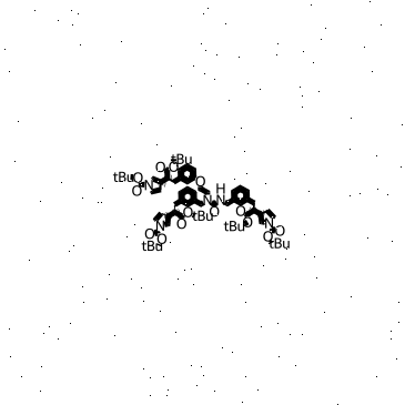 CC(C)(C)OC(=O)[C@@H](Cc1cccc(CNC(=O)N(CCOc2cccc(C[C@H](C(=O)OC(C)(C)C)[C@H]3CCN(C(=O)OC(C)(C)C)C3)c2)Cc2cccc(C[C@H](C(=O)OC(C)(C)C)[C@H]3CCN(C(=O)OC(C)(C)C)C3)c2)c1)[C@H]1CCN(C(=O)OC(C)(C)C)C1